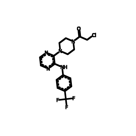 O=C(CCl)N1CCN(c2nccnc2Nc2ccc(C(F)(F)F)cc2)CC1